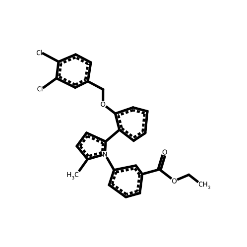 CCOC(=O)c1cccc(-n2c(C)ccc2-c2ccccc2OCc2ccc(Cl)c(Cl)c2)c1